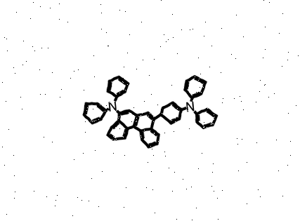 C1=CC(c2cc3cc(N(c4ccccc4)c4ccccc4)c4ccccc4c3c3ccccc23)CC=C1N(c1ccccc1)c1ccccc1